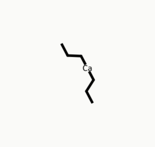 CC[CH2][Ca][CH2]CC